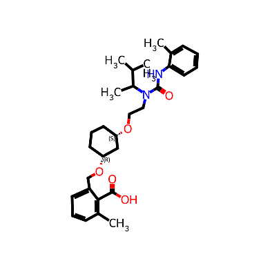 Cc1ccccc1NC(=O)N(CCO[C@H]1CCC[C@@H](OCc2cccc(C)c2C(=O)O)C1)C(C)C(C)C